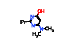 CC(C)c1nc(O)cc(N(C)C)n1